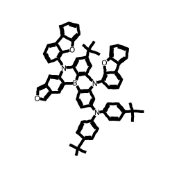 CC(C)(C)c1ccc(N(c2ccc(C(C)(C)C)cc2)c2ccc3c(c2)N(c2cccc4c2oc2ccccc24)c2cc(C(C)(C)C)cc4c2B3c2cc3cocc3cc2N4c2cccc3c2oc2ccccc23)cc1